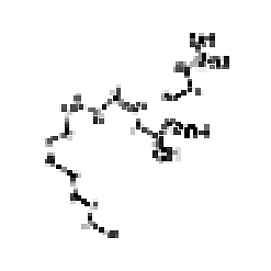 CCCCC/C=C\C/C=C\C/C=C\C/C(O)=C(/O)CCCC(=O)O